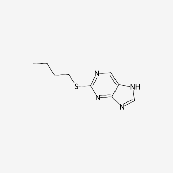 CCCCSc1ncc2[nH]cnc2n1